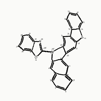 c1ccc2cc3c(cc2c1)c1cc2sc4ccccc4c2cc1n3-c1nc2ccccc2o1